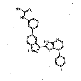 CC(C)(C)C(=O)Nc1cncc(-c2cnc3[nH]nc(-c4nc5c(-c6ccc(F)cc6)ccnc5[nH]4)c3c2)c1